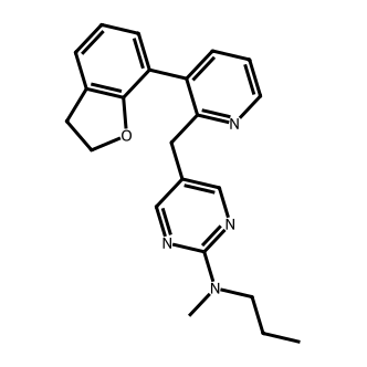 CCCN(C)c1ncc(Cc2ncccc2-c2cccc3c2OCC3)cn1